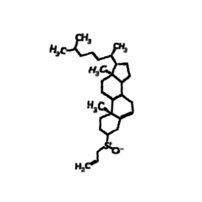 C=CC[S+]([O-])C1CC[C@@]2(C)C(=CCC3C2CC[C@@]2(C)C3CC[C@@H]2[C@H](C)CCCC(C)C)C1